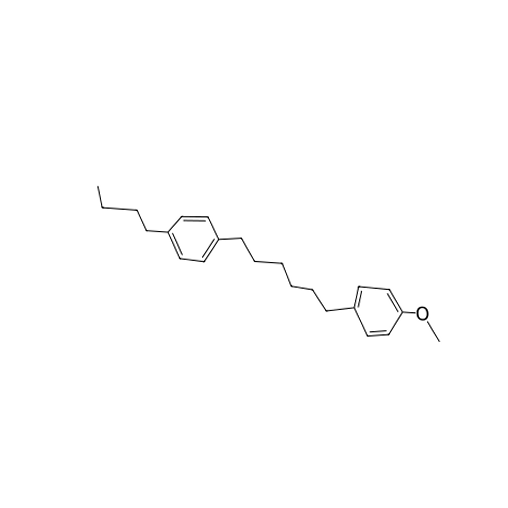 CCCCc1ccc(CCCCCCc2ccc(OC)cc2)cc1